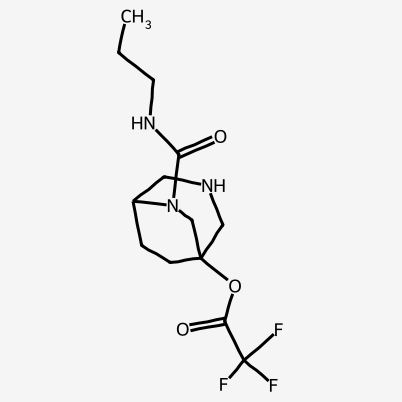 CCCNC(=O)N1CC2(OC(=O)C(F)(F)F)CCC1CNC2